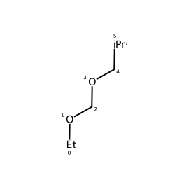 CCOCOC[C](C)C